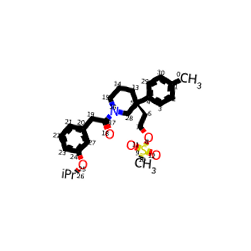 Cc1ccc([C@@]2(CCOS(C)(=O)=O)CCCN(C(=O)Cc3cccc(OC(C)C)c3)C2)cc1